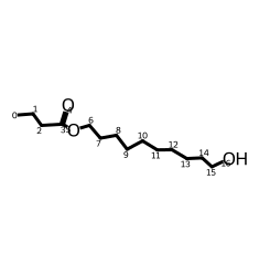 CCCC(=O)OCCCCCCCCCCO